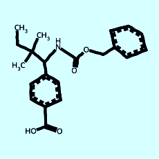 CCC(C)(C)C(NC(=O)OCc1ccccc1)c1ccc(C(=O)O)cc1